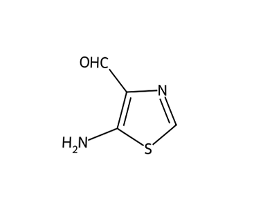 Nc1scnc1C=O